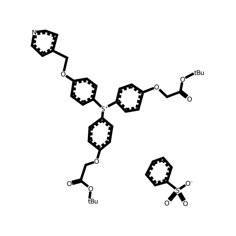 CC(C)(C)OC(=O)COc1ccc([S+](c2ccc(OCC(=O)OC(C)(C)C)cc2)c2ccc(OCc3ccncc3)cc2)cc1.O=S(=O)([O-])c1ccccc1